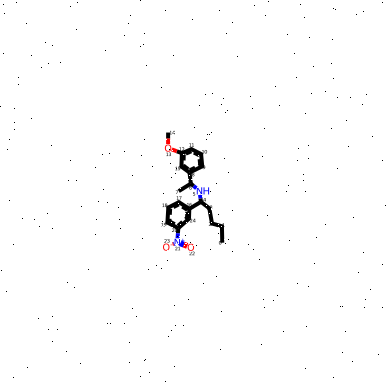 CCCCC(NC(C)c1cccc(OC)c1)c1cccc([N+](=O)[O-])c1